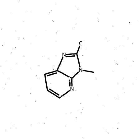 Cn1c(Cl)nc2cccnc21